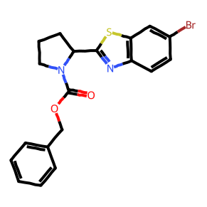 O=C(OCc1ccccc1)N1CCCC1c1nc2ccc(Br)cc2s1